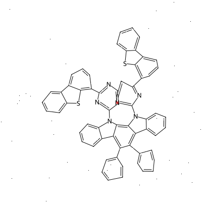 c1ccc(-c2c(-c3ccccc3)c3c4ccccc4n(-c4nccc(-c5cccc6c5sc5ccccc56)n4)c3c3c2c2ccccc2n3-c2ccnc(-c3cccc4c3sc3ccccc34)n2)cc1